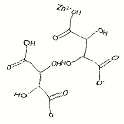 O=C([O-])C(O)C(O)C(=O)O.O=C([O-])C(O)C(O)C(=O)O.[Zn+2]